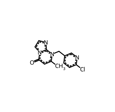 Cc1cc(=O)n2ccnc2n1Cc1ccc(Cl)nc1